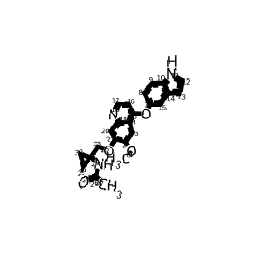 COc1cc2c(Oc3ccc4[nH]ccc4c3)ccnc2cc1OCC1(NC(C)=O)CC1